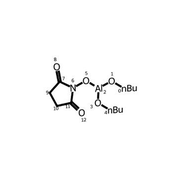 CCCC[O][Al]([O]CCCC)[O]N1C(=O)CCC1=O